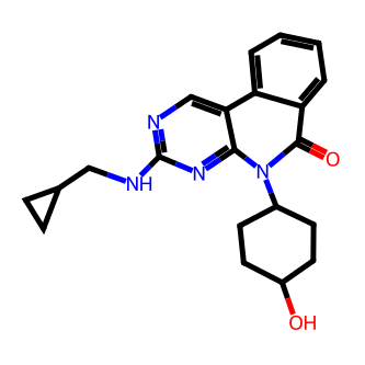 O=c1c2ccccc2c2cnc(NCC3CC3)nc2n1C1CCC(O)CC1